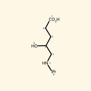 CC(C)NCC(O)CCC(=O)O